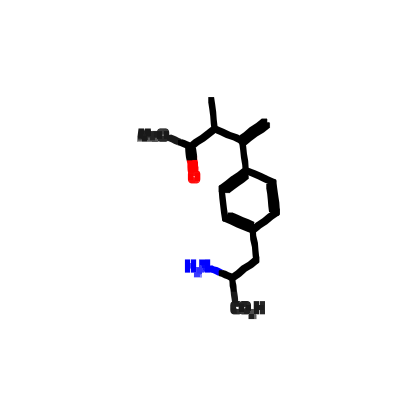 C=C(c1ccc(CC(N)C(=O)O)cc1)C(C)C(=O)OC